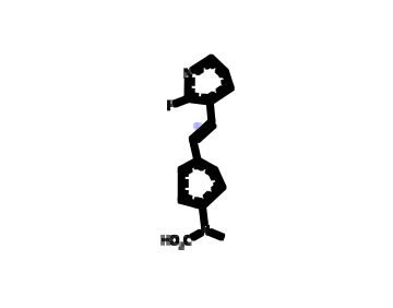 CN(C(=O)O)c1ccc(/C=C/c2cccnc2F)cc1